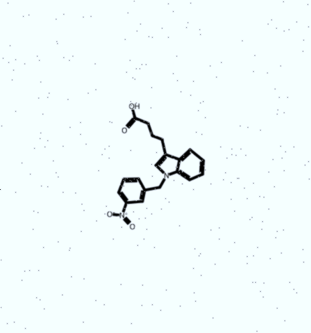 O=C(O)CCCc1cn(Cc2cccc([N+](=O)[O-])c2)c2ccccc12